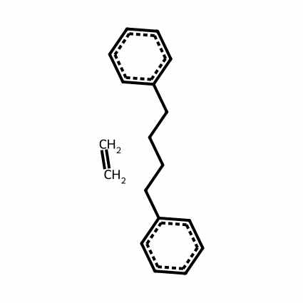 C=C.c1ccc(CCCCc2ccccc2)cc1